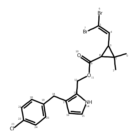 CC1(C)C(C=C(Br)Br)C1C(=O)OCc1[nH]ccc1Cc1ccc(Cl)cc1